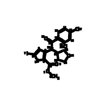 COC(=O)c1sc(I)cc1N(C(=O)c1ccc(Cl)cc1Cl)C1CCOC1